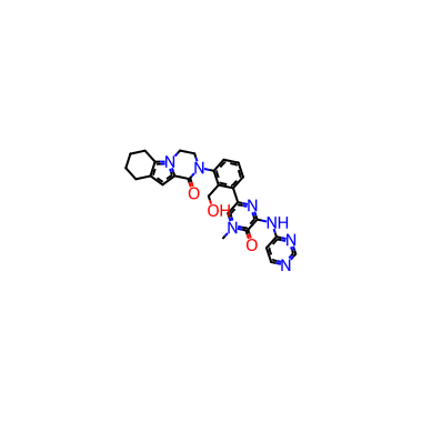 Cn1cc(-c2cccc(N3CCn4c(cc5c4CCCC5)C3=O)c2CO)nc(Nc2ccncn2)c1=O